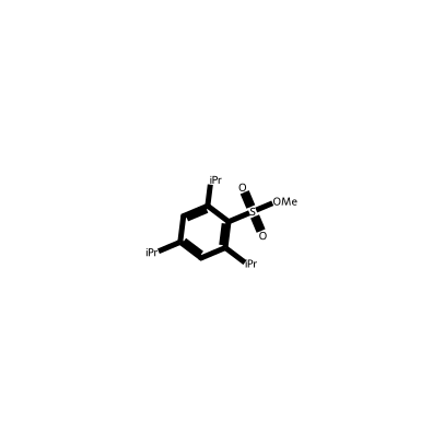 COS(=O)(=O)c1c(C(C)C)cc(C(C)C)cc1C(C)C